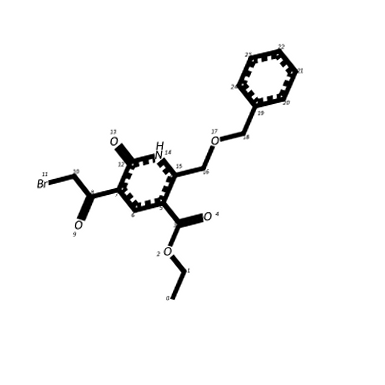 CCOC(=O)c1cc(C(=O)CBr)c(=O)[nH]c1COCc1ccccc1